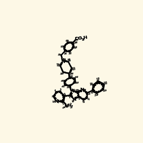 Nc1ncccc1-c1nc2ccc(-c3ccccc3)nc2n1-c1ccc(C2CCN(Cc3ccc(C(=O)O)cc3)CC2)cc1